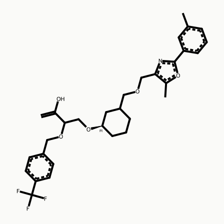 C=C(O)C(CO[C@@H]1CCCC(COCc2nc(-c3cccc(C)c3)oc2C)C1)OCc1ccc(C(F)(F)F)cc1